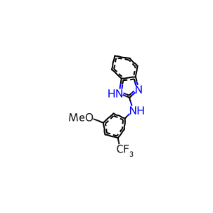 COc1cc(Nc2nc3ccccc3[nH]2)cc(C(F)(F)F)c1